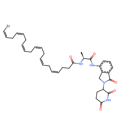 CC/C=C\C/C=C\C/C=C\C/C=C\C/C=C\C/C=C\CCC(=O)N[C@@H](C)C(=O)Nc1cccc2c1CN(C1CCC(=O)NC1=O)C2=O